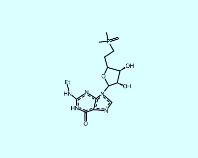 C=P(C)(C)CCC1OC(n2cnc3c(=O)[nH]c(NCC)nc32)[C@H](O)[C@@H]1O